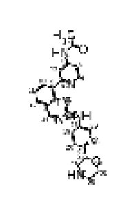 CC(=O)Nc1ccnc(-c2cccc3cnc(Nc4ccc(C5CNCCO5)nc4)nc23)c1